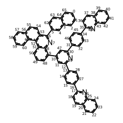 c1ccc2cc(-c3nc4c(-c5cc(-c6ccc(-c7ccc8ccccc8n7)cc6)nc(-c6ccc(-c7ccc8ccccc8n7)cc6)c5)cccc4c4c3ccc3ccccc34)ccc2c1